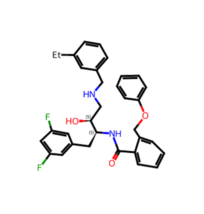 CCc1cccc(CNC[C@H](O)[C@H](Cc2cc(F)cc(F)c2)NC(=O)c2ccccc2COc2ccccc2)c1